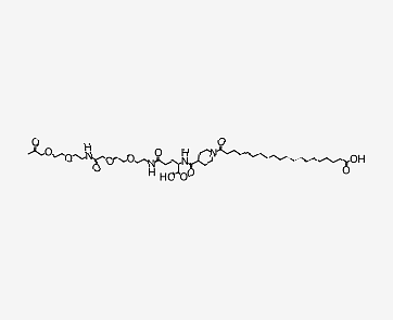 CC(=O)COCCOCCNC(=O)COCCOCCNC(=O)CCC(NC(=O)C1CCN(C(=O)CCCCCCCCCCCCCCCCCCC(=O)O)CC1)C(=O)O